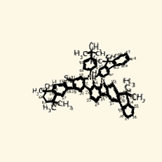 CC(C)(C)c1ccc(Nc2cc3sc4cc5c(cc4c3cc2-c2ccc3c4cc6c(cc4n4c3c2Bc2cc3c(cc2-4)-c2ccccc2C3(C)C)C(C)(C)c2ccccc2-6)C(C)(C)CCC5(C)C)cc1